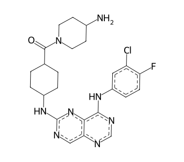 NC1CCN(C(=O)C2CCC(Nc3ncc4ncnc(Nc5ccc(F)c(Cl)c5)c4n3)CC2)CC1